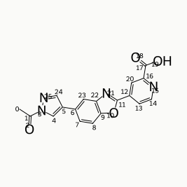 CC(=O)n1cc(-c2ccc3oc(-c4ccnc(C(=O)O)c4)nc3c2)cn1